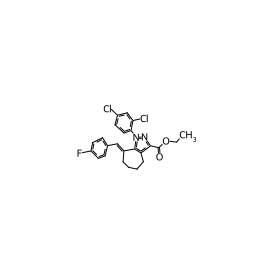 CCOC(=O)c1nn(-c2ccc(Cl)cc2Cl)c2c1CCCC/C2=C\c1ccc(F)cc1